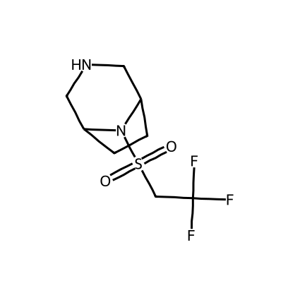 O=S(=O)(CC(F)(F)F)N1C2CCC1CNC2